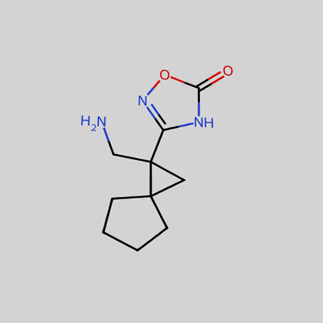 NCC1(c2noc(=O)[nH]2)CC12CCCC2